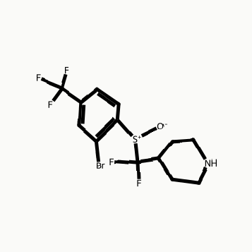 [O-][S+](c1ccc(C(F)(F)F)cc1Br)C(F)(F)C1CCNCC1